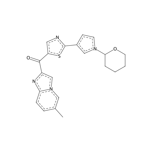 Cc1ccc2nc(C(=O)c3cnc(-c4ccn(C5CCCCO5)c4)s3)cn2c1